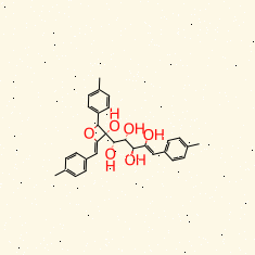 Cc1ccc(C=C(O)[C@@H](O)[C@@H](O)[C@H](O)[C@@]2(O)C(=Cc3ccc(C)cc3)OC2c2ccc(C)cc2)cc1